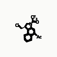 CC(=O)c1cc2c(c3ccccc13)[C@H](CCl)CN2C(=O)C(F)(F)F